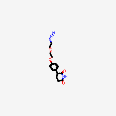 [N-]=[N+]=NCCOCCOc1ccc(C2CCC(=O)NC2=O)cc1